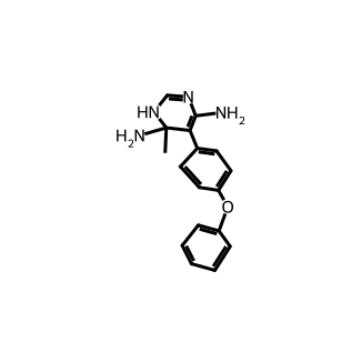 CC1(N)NC=NC(N)=C1c1ccc(Oc2ccccc2)cc1